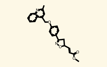 COC(=O)C=CC1CC(c2ccc(OCc3cc(C)nc4ccccc34)cc2)=NO1